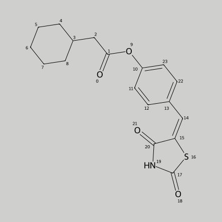 O=C(CC1CCCCC1)Oc1ccc(C=C2SC(=O)NC2=O)cc1